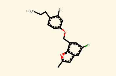 CCc1cc(OCc2cc(Cl)cc3cc(C)oc23)ccc1CCC(=O)O